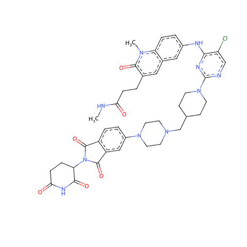 CNC(=O)CCc1cc2cc(Nc3nc(N4CCC(CN5CCN(c6ccc7c(c6)C(=O)N(C6CCC(=O)NC6=O)C7=O)CC5)CC4)ncc3Cl)ccc2n(C)c1=O